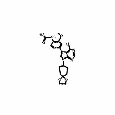 COc1cc(-c2cn(C3CCC4(CC3)OCCO4)c3ncnc(Cl)c23)ccc1NC(=O)O